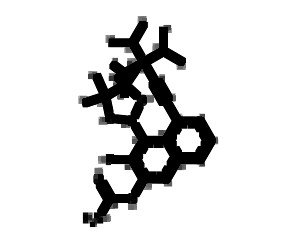 CC(C)[Si](C#Cc1cccc2cc(OC(N)=O)c(F)c(B3OC(C)(C)C(C)(C)O3)c12)(C(C)C)C(C)C